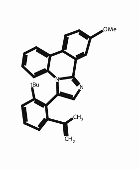 C=C(C)c1cccc(C(C)(C)C)c1-c1cnc2c3cc(OC)ccc3c3ccccc3n12